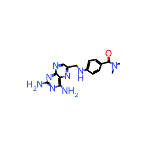 CN(C)C(=O)c1ccc(NCc2cnc3nc(N)nc(N)c3n2)cc1